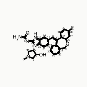 CN1C[C@H](O)[C@@H](n2/c(=N/C(N)=O)[nH]c3cc(/C=C4\c5ccccc5COC5C=C(F)C=CC45)ccc32)C1